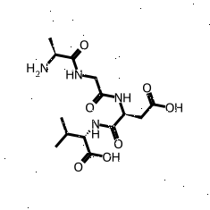 CC(C)[C@H](NC(=O)[C@H](CC(=O)O)NC(=O)CNC(=O)[C@H](C)N)C(=O)O